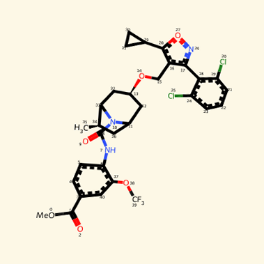 COC(=O)c1ccc(NC(=O)N2C3C[C@H](OCc4c(-c5c(Cl)cccc5Cl)noc4C4CC4)CC2[C@H](C)C3)c(OC(F)(F)F)c1